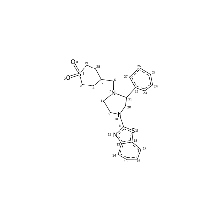 O=S1(=O)CCC(CN2CCN(c3nc4ccccc4s3)CC2c2ccccc2)CC1